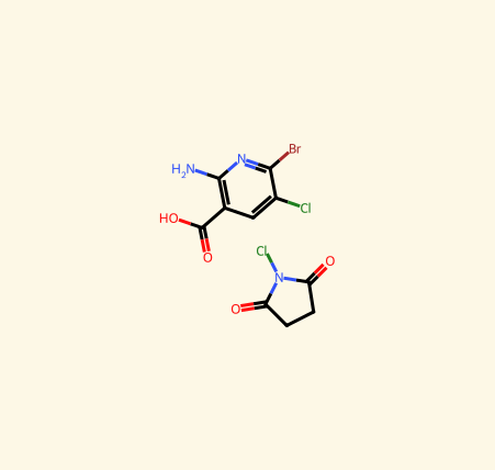 Nc1nc(Br)c(Cl)cc1C(=O)O.O=C1CCC(=O)N1Cl